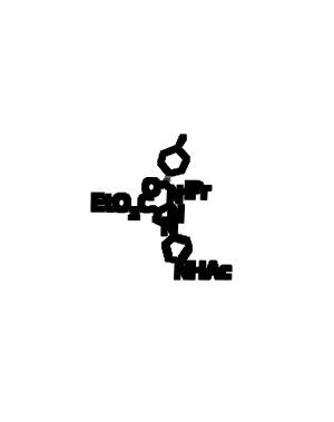 CCOC(=O)c1cn(-c2ccc(NC(C)=O)cc2)nc1N(C(=O)[C@H]1CC[C@H](C)CC1)C(C)C